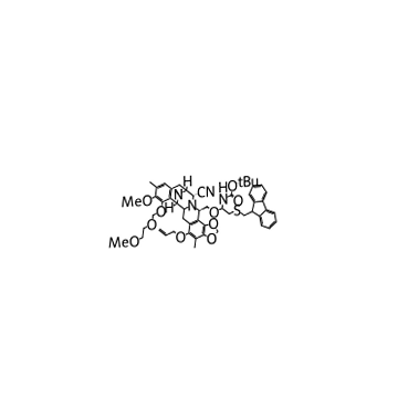 C=CCOc1c(C)c2c(c3c1CC1[C@@H]4c5c(cc(C)c(OC)c5OCOCCOC)C[C@H]([C@H](C#N)N1[C@H]3COC(CSCC1c3ccccc3-c3ccccc31)NC(=O)OC(C)(C)C)N4C)OCO2